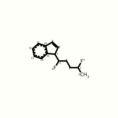 CC(F)CCC(F)C1C=Cc2ccccc21